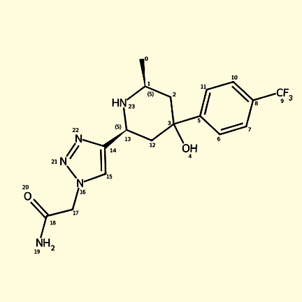 C[C@H]1CC(O)(c2ccc(C(F)(F)F)cc2)C[C@@H](c2cn(CC(N)=O)nn2)N1